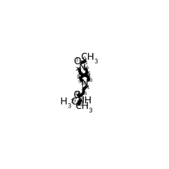 CCC(=O)N1CCC2(CCN(CCCC(=O)NC(C)C)CC2)CC1